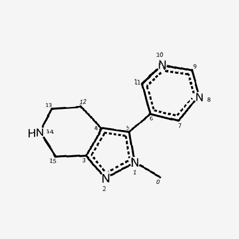 Cn1nc2c(c1-c1cncnc1)CCNC2